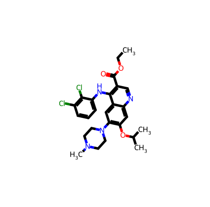 CCOC(=O)c1cnc2cc(OC(C)C)c(N3CCN(C)CC3)cc2c1Nc1cccc(Cl)c1Cl